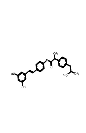 CC(C)Cc1ccc([C@H](C)C(=O)Oc2ccc(/C=C/c3cc(O)cc(O)c3)cc2)cc1